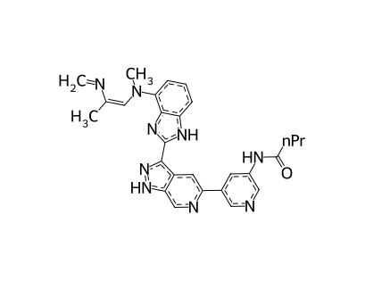 C=N/C(C)=C\N(C)c1cccc2[nH]c(-c3n[nH]c4cnc(-c5cncc(NC(=O)CCC)c5)cc34)nc12